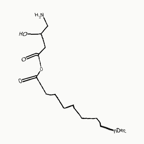 CCCCCCCCCCCCCCCCCC(=O)OC(=O)CC(O)CN